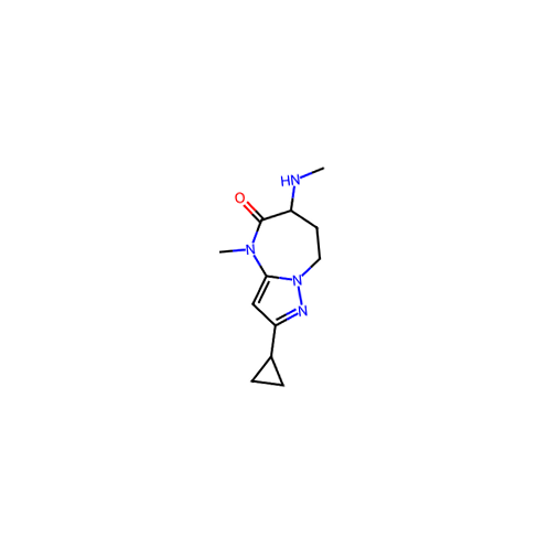 CNC1CCn2nc(C3CC3)cc2N(C)C1=O